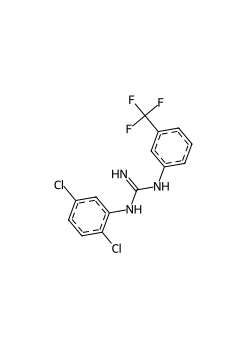 N=C(Nc1cccc(C(F)(F)F)c1)Nc1cc(Cl)ccc1Cl